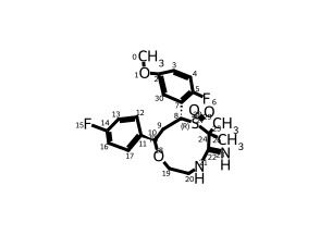 COc1ccc(F)c([C@H]2C[C@H](c3ccc(F)cc3)OCCNC(=N)C(C)(C)S2(=O)=O)c1